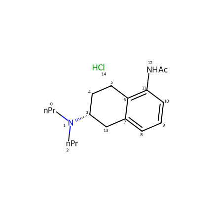 CCCN(CCC)[C@@H]1CCc2c(cccc2NC(C)=O)C1.Cl